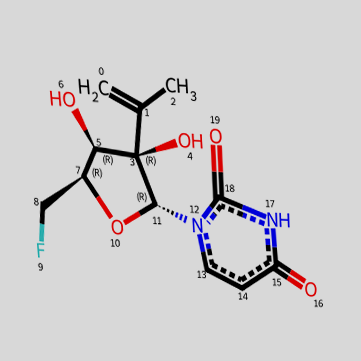 C=C(C)[C@@]1(O)[C@H](O)[C@H](CF)O[C@H]1n1ccc(=O)[nH]c1=O